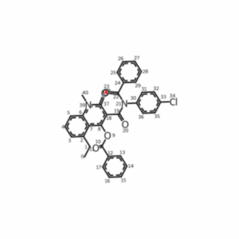 CCc1cccc2c1c(OC(=O)c1ccccc1)c(C(=O)N(C(=O)c1ccccc1)c1ccc(Cl)cc1)c(=O)n2C